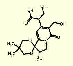 CCC(C(=O)O)c1cc2n(c(=O)c1CO)C[C@H](O)C21OCC(C)(C)CO1